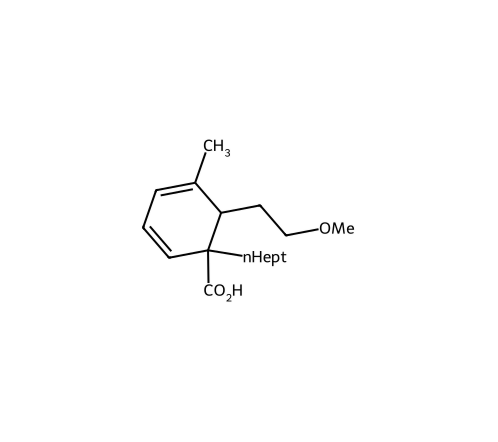 CCCCCCCC1(C(=O)O)C=CC=C(C)C1CCOC